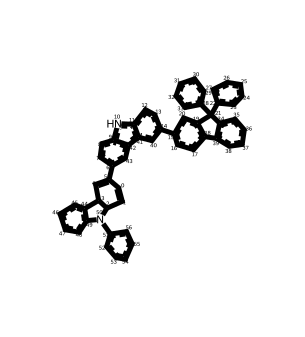 C1=CC2C(C=C1c1ccc3[nH]c4ccc(-c5ccc6c(c5)C(c5ccccc5)(c5ccccc5)c5ccccc5-6)cc4c3c1)c1ccccc1N2c1ccccc1